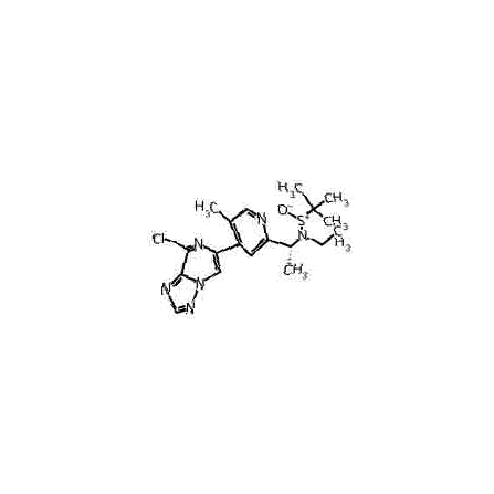 CCN([C@H](C)c1cc(-c2cn3ncnc3c(Cl)n2)c(C)cn1)[S+]([O-])C(C)(C)C